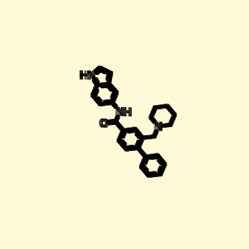 O=C(Nc1ccc2[nH]ccc2c1)c1ccc(-c2ccccc2)c(CN2CCCCC2)c1